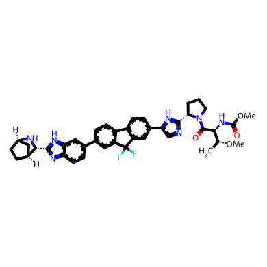 COC(=O)N[C@H](C(=O)N1CCC[C@H]1c1ncc(-c2ccc3c(c2)C(F)(F)c2cc(-c4ccc5nc([C@H]6N[C@@H]7CC[C@H]6C7)[nH]c5c4)ccc2-3)[nH]1)[C@@H](C)OC